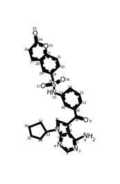 Nc1ncnc2c1c(C(=O)c1cccc(NS(=O)(=O)c3ccc4oc(=O)ccc4c3)c1)cn2C1CCCC1